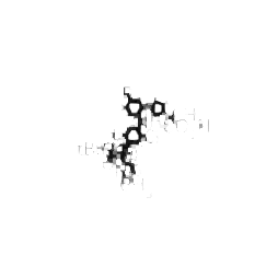 CN(C(=O)O)C1CCN(c2cc(F)ccc2Nc2cc(F)c(S(=O)(=O)N(C(=O)OC(C)(C)C)c3ccn(C)n3)cc2Cl)C1